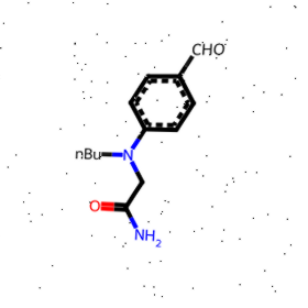 CCCCN(CC(N)=O)c1ccc(C=O)cc1